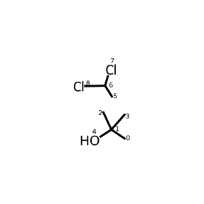 CC(C)(C)O.CC(Cl)Cl